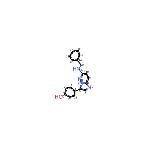 Oc1ccc(-c2cnc3ccc(NCc4ccccc4)nn23)cc1